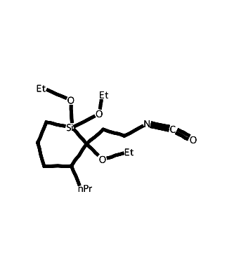 CCCC1CCC[Si](OCC)(OCC)C1(CCN=C=O)OCC